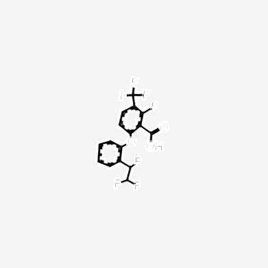 O=C(O)c1c(Oc2ccccc2C(F)C(F)F)ccc(C(F)(F)F)c1F